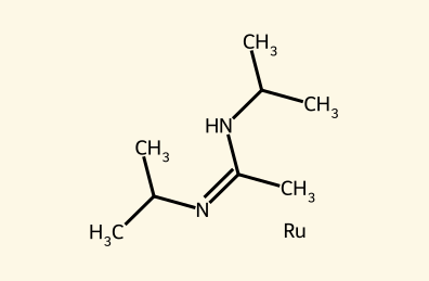 CC(=NC(C)C)NC(C)C.[Ru]